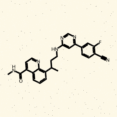 CNC(=O)c1ccnc2c(C(C)CCNc3cc(-c4ccc(C#N)c(F)c4)ncn3)cccc12